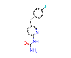 NC(=O)Nc1ccc(Cc2ccc(F)cc2)cn1